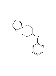 c1ccc(OC2CCC3(CC2)OCCO3)nc1